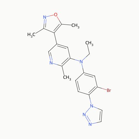 CCN(c1ccc(-n2ccnn2)c(Br)c1)c1cc(-c2c(C)noc2C)cnc1C